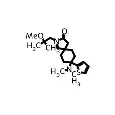 COC(C)(C)CN1CC2(CCC(c3cccs3)(N(C)C)CC2)CC1=O